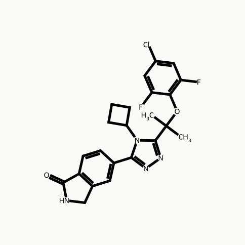 CC(C)(Oc1c(F)cc(Cl)cc1F)c1nnc(-c2ccc3c(c2)CNC3=O)n1C1CCC1